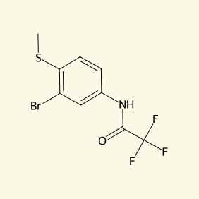 CSc1ccc(NC(=O)C(F)(F)F)cc1Br